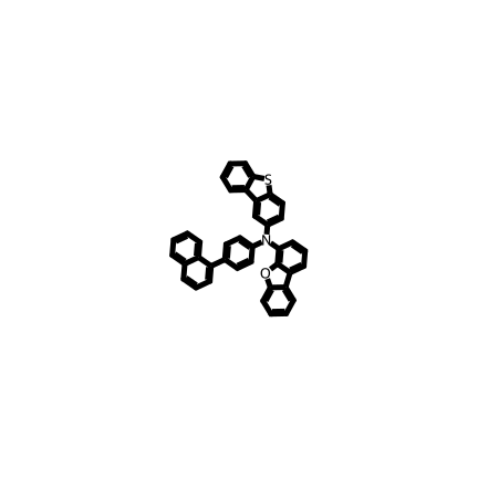 c1ccc2c(-c3ccc(N(c4ccc5sc6ccccc6c5c4)c4cccc5c4oc4ccccc45)cc3)cccc2c1